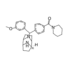 COc1cccc(C(c2ccc(C(=O)N3CCCCC3)cc2)N2C3CCC2[C@H]2CCC3N2)c1